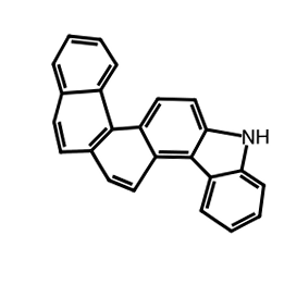 c1ccc2c(c1)ccc1ccc3c(ccc4[nH]c5ccccc5c43)c12